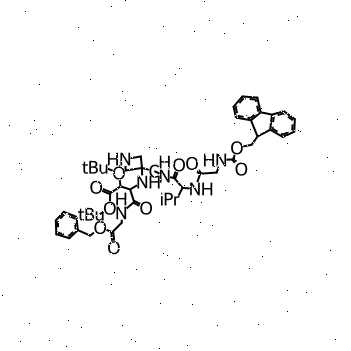 CC(C)C(NC(=O)CNC(=O)OCC1c2ccccc2-c2ccccc21)C(=O)NCC1(NC(C(=O)NCC(=O)OCc2ccccc2)C(OC(C)(C)C)C(=O)OC(C)(C)C)CNC1